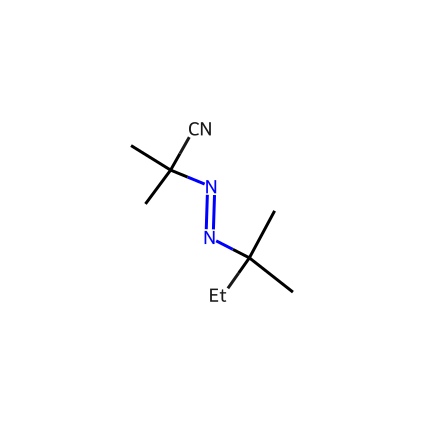 CCC(C)(C)N=NC(C)(C)C#N